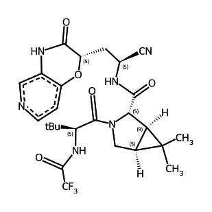 CC(C)(C)[C@H](NC(=O)C(F)(F)F)C(=O)N1C[C@H]2[C@@H]([C@H]1C(=O)N[C@H](C#N)C[C@@H]1Oc3ccncc3NC1=O)C2(C)C